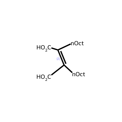 CCCCCCCC/C(C(=O)O)=C(\CCCCCCCC)C(=O)O